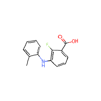 Cc1ccccc1Nc1cccc(C(=O)O)c1F